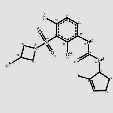 CC1=CCCC1NC(=O)Nc1ccc(Cl)c(S(=O)(=O)N2CC(F)C2)c1O